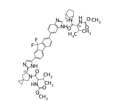 COC(=O)NC(C(=O)N1CC2(CC2)C[C@H]1c1ncc(-c2ccc3c(c2)C(F)(F)c2cc(-c4ccc5nc([C@@H]6C7CCC(C7)N6C(=O)[C@@H](NC(=O)OC)C(C)C)[nH]c5c4)ccc2-3)[nH]1)C(C)C